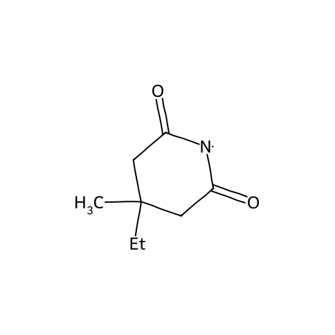 CCC1(C)CC(=O)[N]C(=O)C1